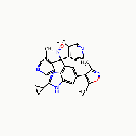 Cc1cnccc1C(N=O)(c1ccncc1C)c1cc(-c2c(C)noc2C)cc2[nH]c(C3CC3)nc12